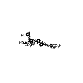 Cc1c(COc2cc(OCc3cncc(C#N)c3)c(CN[C@](C)(CO)C(=O)O)cc2Cl)cccc1-c1cccc(OCCCN2CCC(O)(C(=O)O)C2)c1C